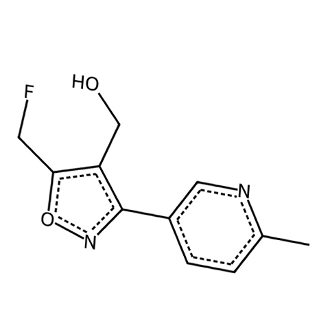 Cc1ccc(-c2noc(CF)c2CO)cn1